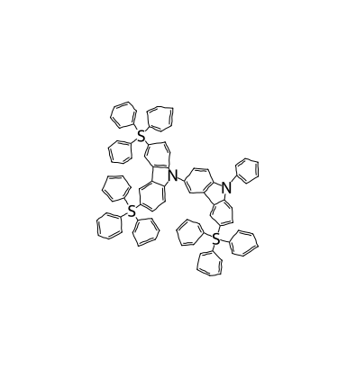 c1ccc(-n2c3ccc(-n4c5ccc(S(c6ccccc6)(c6ccccc6)c6ccccc6)cc5c5cc(S(c6ccccc6)(c6ccccc6)c6ccccc6)ccc54)cc3c3cc(S(c4ccccc4)(c4ccccc4)c4ccccc4)ccc32)cc1